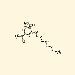 NCCCOCCCOc1cc(C(N)=O)cc([N+](=O)[O-])c1Cl